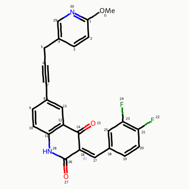 COc1ccc(CC#Cc2ccc3c(c2)C(=O)/C(=C\c2ccc(F)c(F)c2)C(=O)N3)cn1